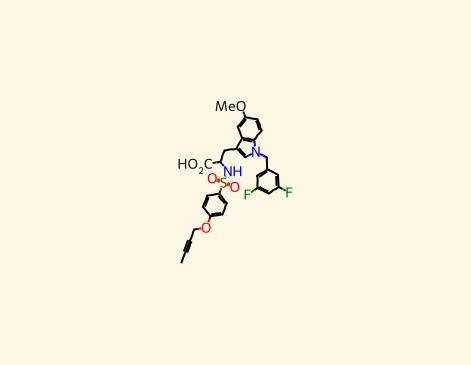 CC#CCOc1ccc(S(=O)(=O)NC(Cc2cn(Cc3cc(F)cc(F)c3)c3ccc(OC)cc23)C(=O)O)cc1